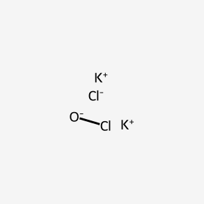 [Cl-].[K+].[K+].[O-]Cl